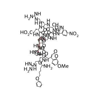 COc1ccc2c(CC(=O)[C@](CCCNC(=N)N)(NC(=O)[C@@H](N)CCCCOc3ccccc3)C(=O)N3CCC[C@H]3C(=O)N[C@@H](CC(C)C)C(=O)NCC(=O)N[C@@H](CNc3ccc([N+](=O)[O-])cc3[N+](=O)[O-])C(=O)N[C@@H](C)C(=O)N[C@H](CCCNC(=N)N)C(=O)N[C@H](CCC(=O)O)C(=O)N[C@H](CCCNC(=N)N)C(N)=O)cc(=O)oc2c1